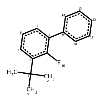 CC(C)(C)c1cccc(-c2ccccc2)c1F